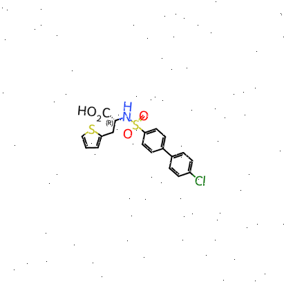 O=C(O)[C@@H](Cc1cccs1)NS(=O)(=O)c1ccc(-c2ccc(Cl)cc2)cc1